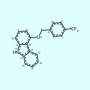 FC(F)(F)c1ccc(COc2cccc3[nH]c4ccccc4c23)cc1